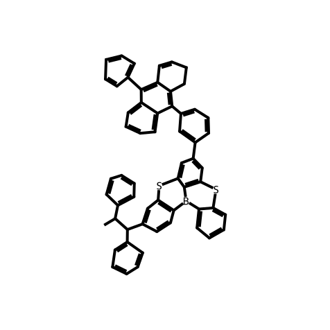 CC(c1ccccc1)C(c1ccccc1)c1ccc2c(c1)Sc1cc(-c3cccc(-c4c5c(c(-c6ccccc6)c6ccccc46)C=CCC5)c3)cc3c1B2c1ccccc1S3